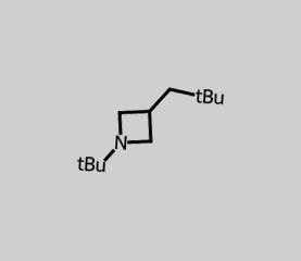 CC(C)(C)CC1CN(C(C)(C)C)C1